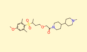 COc1cc(C)c(S(=O)(=O)C(C)CCOCC(=O)N2CCC(C3CCN(C)CC3)CC2)c(C)c1